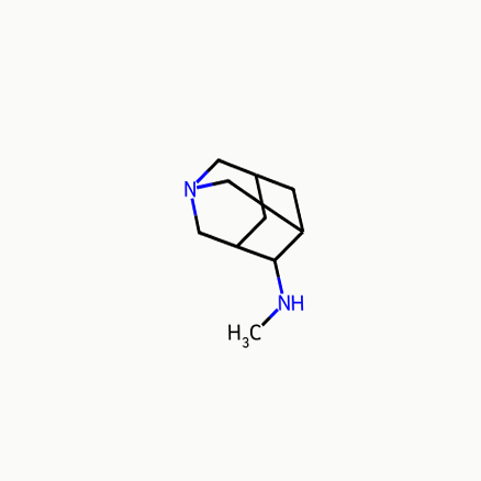 CNC1C2CC3CC1CN(C3)C2